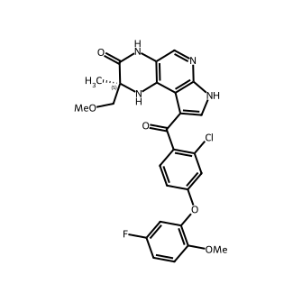 COC[C@]1(C)Nc2c(cnc3[nH]cc(C(=O)c4ccc(Oc5cc(F)ccc5OC)cc4Cl)c23)NC1=O